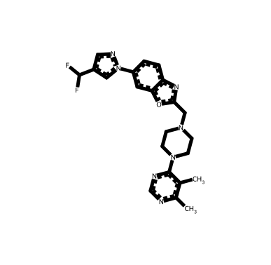 Cc1ncnc(N2CCN(Cc3nc4ccc(-n5cc(C(F)F)cn5)cc4o3)CC2)c1C